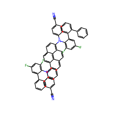 N#Cc1ccc(N(c2c(F)cc(F)cc2-c2ccccc2-c2ccccc2)c2ccc3ccc4c(N(c5ccc(C#N)cc5)c5c(F)cc(F)cc5-c5ccccc5-c5ccccc5)ccc5ccc2c3c54)cc1